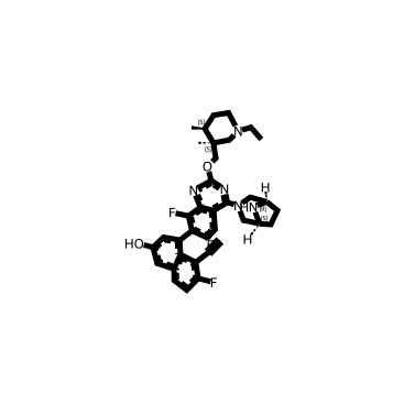 C#Cc1c(F)ccc2cc(O)cc(-c3c(F)cc4c(N5C[C@H]6CC[C@@H](C5)N6)nc(OC[C@]5(C)CN(CC)CC[C@@H]5C)nc4c3F)c12